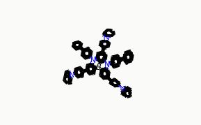 c1ccc(-c2ccc(N3c4cc(-c5ccc(N6C7CC8CC(C7)CC6C8)cc5)ccc4B4c5ccc(-c6ccc(N7C8CC9CC(C8)CC7C9)cc6)cc5N(c5ccc(-c6ccccc6)cc5)c5cc(-c6ccc(N7C8CC9CC(C8)C7C9)cc6)cc3c54)cc2)cc1